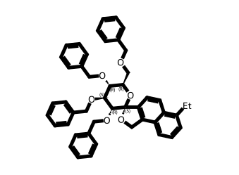 CCc1cccc2c3c(ccc12)[C@]1(OC3)O[C@H](COCc2ccccc2)[C@@H](OCc2ccccc2)[C@H](OCc2ccccc2)[C@H]1OCc1ccccc1